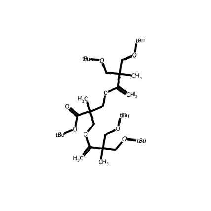 C=C(OCC(C)(COC(=C)C(C)(COC(C)(C)C)COC(C)(C)C)C(=O)OC(C)(C)C)C(C)(COC(C)(C)C)COC(C)(C)C